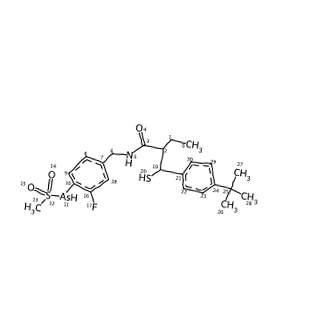 CCC(C(=O)NCc1ccc([AsH]S(C)(=O)=O)c(F)c1)C(S)c1ccc(C(C)(C)C)cc1